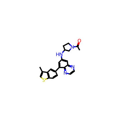 CC(=O)N1CCC(Nc2cc(-c3ccc4scc(C)c4c3)c3nccnc3c2)C1